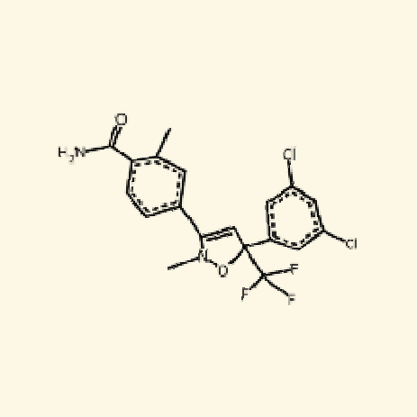 Cc1cc(C2=CC(c3cc(Cl)cc(Cl)c3)(C(F)(F)F)ON2C)ccc1C(N)=O